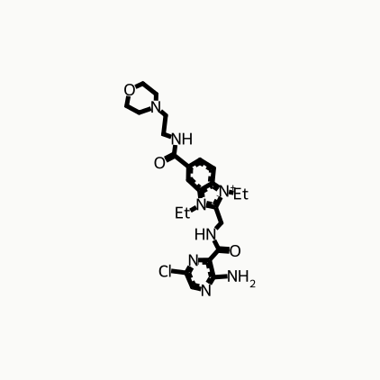 CCn1c(CNC(=O)c2nc(Cl)cnc2N)[n+](CC)c2ccc(C(=O)NCCN3CCOCC3)cc21